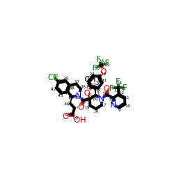 CCC[C@H]1N(C(=O)c2ncccc2C(F)(F)F)CCC[C@]1(Oc1ccc(OC(F)(F)F)cc1)C(=O)N1CCc2cc(Cl)ccc2[C@@H]1CCC(=O)O